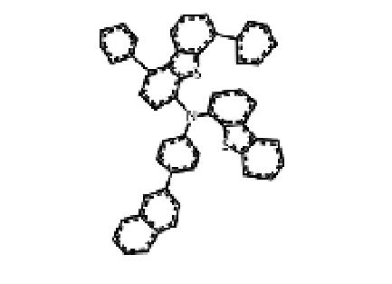 c1ccc(-c2cccc3c2sc2c(N(c4ccc(-c5ccc6ccccc6c5)cc4)c4cccc5c4sc4ccccc45)ccc(-c4ccccc4)c23)cc1